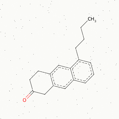 CCCCc1cccc2cc3c(cc12)CCC(=O)C3